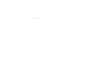 N=C(N)NCCC[C@H](NC(=O)[C@@H]1C[C@H](Cc2ccccc2)[C@H]2CCC(NC(=O)Cc3ccccc3)C(=O)N21)C(=O)N[C@@H](CC(=O)O)C(=O)NCc1ccccc1